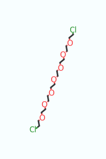 ClCCOCCOCCOCCOCCOCCOCCOCCCl